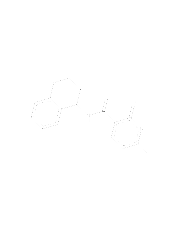 O=C(NC1CCCc2ccccc21)c1ccc(C(F)(F)F)[nH]c1=O